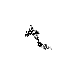 COC(=O)C[C@H](NC(=O)[C@H](C(C)C)n1cc(COc2ccc3nc(S(N)(=O)=O)sc3c2)nn1)c1ccc(C(F)(F)F)cc1